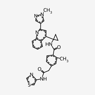 Cc1cc(CC(=O)Nc2cscn2)ccc1C(=O)NC1(c2cc(-c3cnn(C)c3)nc3ccccc23)CC1